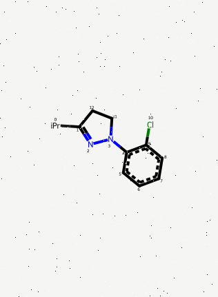 CC(C)C1=NN(c2ccccc2Cl)CC1